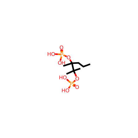 CCCC(C)(OP(=O)(O)O)C(C)(C)OP(=O)(O)O